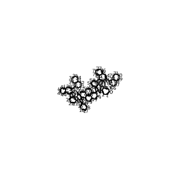 c1ccc(N(c2ccc3ccc4c(N(c5ccccc5)c5cccc6c5oc5c(C7CCCC8CCCCC87)cc7ccccc7c56)ccc5ccc2c3c54)c2cccc3c2oc2c(C4CCCC5CCCCC54)cc4ccccc4c23)cc1